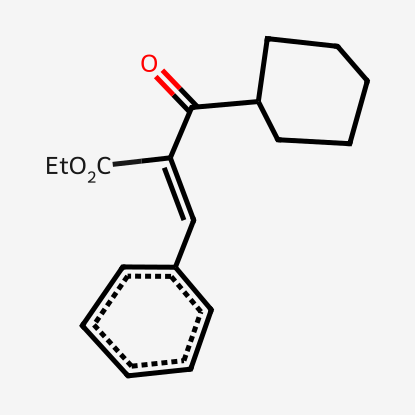 CCOC(=O)/C(=C\c1ccccc1)C(=O)C1CCCCC1